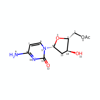 CC(=O)OC[C@H]1O[C@@H](n2ccc(N)nc2=O)C[C@@H]1O